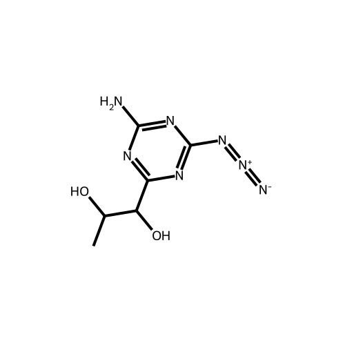 CC(O)C(O)c1nc(N)nc(N=[N+]=[N-])n1